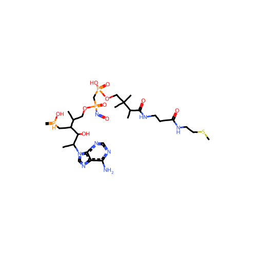 C=[PH](O)CC(C(C)COP(=O)(CP(=O)(O)OCC(C)(C)C(C)C(=O)NCCC(=O)NCCSC)N=O)C(O)C(C)n1cnc2c(N)ncnc21